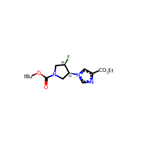 CCOC(=O)c1cn([C@H]2CN(C(=O)OC(C)(C)C)C[C@H]2F)cn1